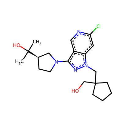 CC(C)(O)[C@@H]1CCN(c2nn(CC3(CO)CCCC3)c3cc(Cl)ncc23)C1